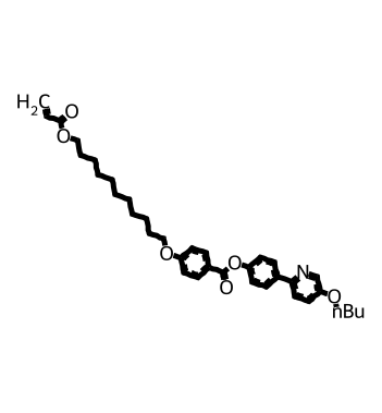 C=CC(=O)OCCCCCCCCCCCOc1ccc(C(=O)Oc2ccc(-c3ccc(OCCCC)cn3)cc2)cc1